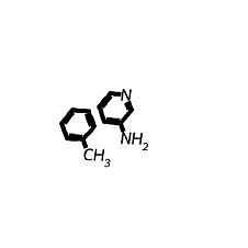 Cc1ccccc1.Nc1cccnc1